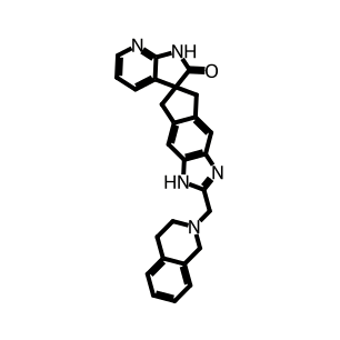 O=C1Nc2ncccc2C12Cc1cc3nc(CN4CCc5ccccc5C4)[nH]c3cc1C2